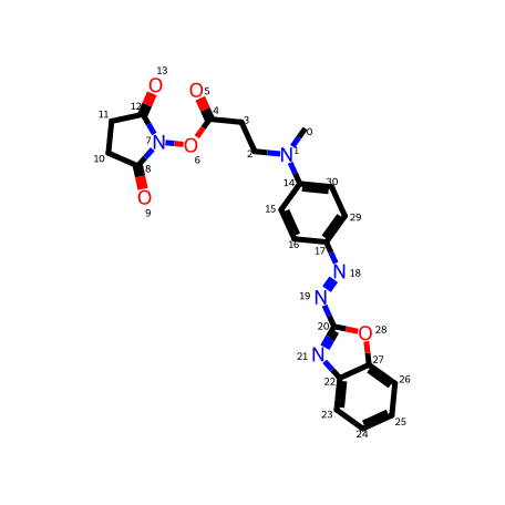 CN(CCC(=O)ON1C(=O)CCC1=O)c1ccc(N=Nc2nc3ccccc3o2)cc1